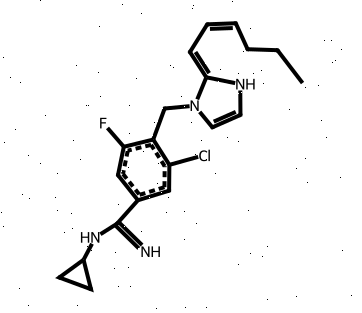 CCC/C=C\C=C1/NC=CN1Cc1c(F)cc(C(=N)NC2CC2)cc1Cl